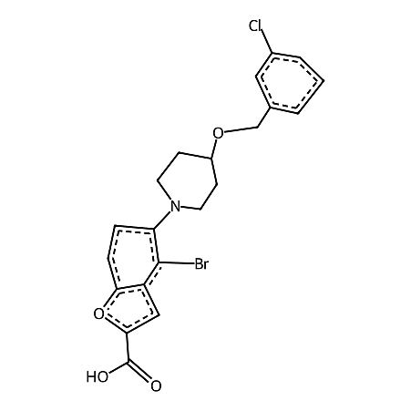 O=C(O)c1cc2c(Br)c(N3CCC(OCc4cccc(Cl)c4)CC3)ccc2o1